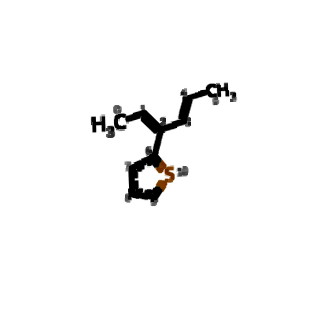 C/C=C(/C=C/C)c1cccs1